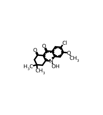 COc1cc2c(cc1Cl)c(=O)c1c(n2O)CC(C)(C)CC1=O